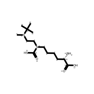 CN(CCN(CCCC[C@H](N)C(=O)O)C(=O)S)C(C)(C)C